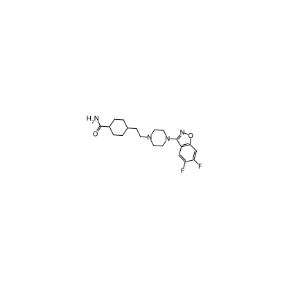 NC(=O)C1CCC(CCN2CCN(c3noc4cc(F)c(F)cc34)CC2)CC1